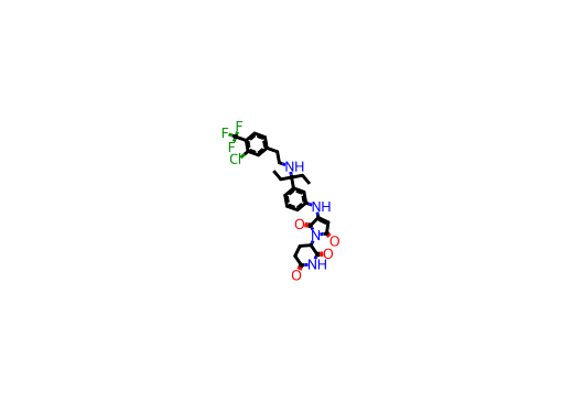 CCC(CC)(NCCc1ccc(C(F)(F)F)c(Cl)c1)c1cccc(NC2=CC(=O)N(C3CCC(=O)NC3=O)C2=O)c1